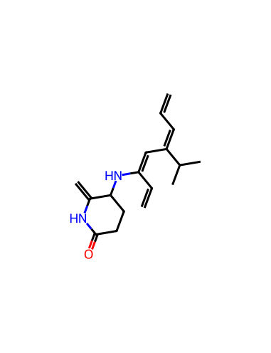 C=C/C=C(\C=C(/C=C)NC1CCC(=O)NC1=C)C(C)C